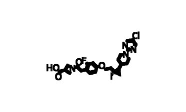 O=C(O)C1CN(C(=O)Cc2ccc(OCC[C@]3(I)CC3C3CCN(c4ncc(Cl)cn4)CC3)cc2F)C1